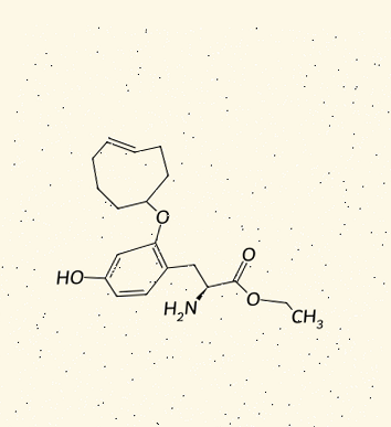 CCOC(=O)[C@@H](N)Cc1ccc(O)cc1OC1CC/C=C/CCC1